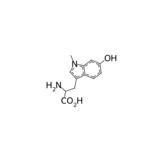 Cn1cc(CC(N)C(=O)O)c2ccc(O)cc21